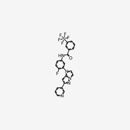 O=C(Nc1ccc(F)c(-n2ccn3nc(-c4cccnc4)cc23)c1)c1cccc(S(F)(F)(F)(F)F)c1